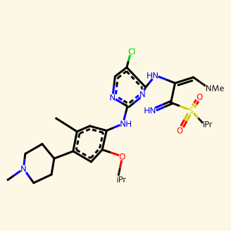 CN/C=C(/Nc1nc(Nc2cc(C)c(C3CCN(C)CC3)cc2OC(C)C)ncc1Cl)C(=N)S(=O)(=O)C(C)C